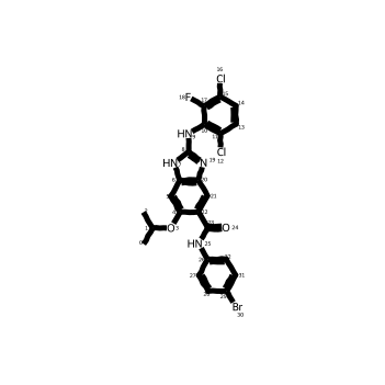 CC(C)Oc1cc2[nH]c(Nc3c(Cl)ccc(Cl)c3F)nc2cc1C(=O)Nc1ccc(Br)cc1